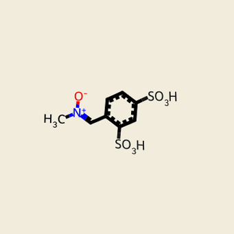 C[N+]([O-])=Cc1ccc(S(=O)(=O)O)cc1S(=O)(=O)O